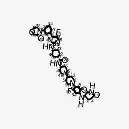 O=C1CCC(Nc2ccc(N3CCC(N4CCC(NC(=O)[C@H]5CC[C@H](Nc6ncc(F)c(-c7cccc(N8CCOCC8=O)c7)n6)CC5)CC4)CC3)c(F)c2)C(=O)N1